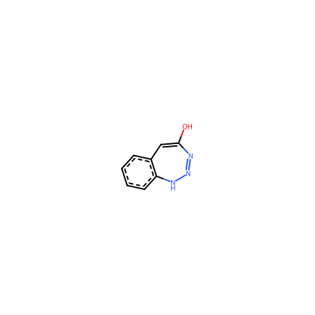 OC1=Cc2ccccc2NN=N1